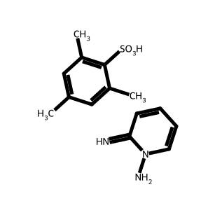 Cc1cc(C)c(S(=O)(=O)O)c(C)c1.N=c1ccccn1N